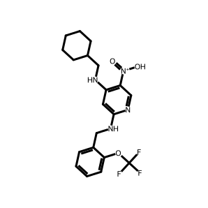 O=[N+](O)c1cnc(NCc2ccccc2OC(F)(F)F)cc1NCC1CCCCC1